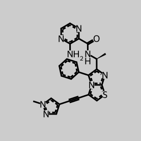 C[C@H](NC(=O)c1nccnc1N)c1nc2scc(C#Cc3cnn(C)c3)n2c1-c1ccccc1